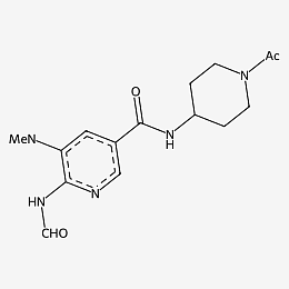 CNc1cc(C(=O)NC2CCN(C(C)=O)CC2)cnc1NC=O